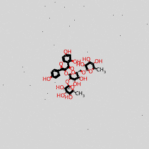 C[C@H]1O[C@H](OC[C@H]2O[C@@H](Oc3c(-c4ccc(O)cc4)oc4cc(O)cc(O)c4c3=O)[C@H](O[C@H]3O[C@H](C)[C@@H](O)[C@H](O)[C@@H]3O)[C@@H](O)[C@H]2O)[C@@H](O)[C@@H](O)[C@@H]1O